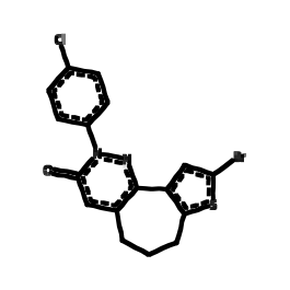 O=c1cc2c(nn1-c1ccc(Cl)cc1)-c1cc(Br)sc1CCC2